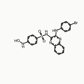 O=S(=O)(Nc1nc2ccccc2nc1Nc1ccc(Br)cc1)c1ccc(NO)cc1